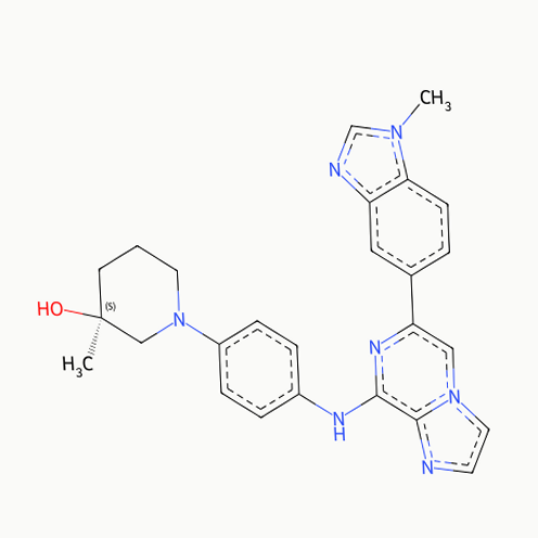 Cn1cnc2cc(-c3cn4ccnc4c(Nc4ccc(N5CCC[C@](C)(O)C5)cc4)n3)ccc21